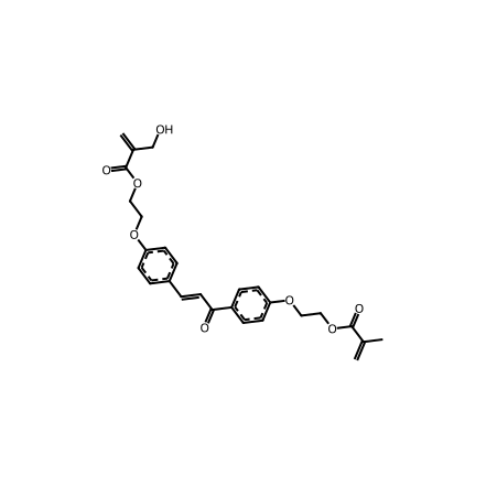 C=C(C)C(=O)OCCOc1ccc(C(=O)/C=C/c2ccc(OCCOC(=O)C(=C)CO)cc2)cc1